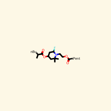 CCCCC(C)C(=O)OC1CC(F)N(CCOC(=O)C(C)CCC)C(C)(C)C1